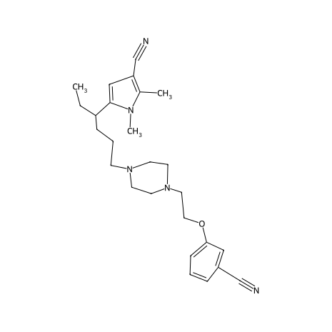 CCC(CCCN1CCN(CCOc2cccc(C#N)c2)CC1)c1cc(C#N)c(C)n1C